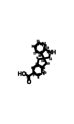 O=C(O)c1cnc2c(c1)CC1(CNc3ncccc31)C2